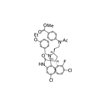 CCOc1cccc(CN2[C@@H](CCN(C(C)=O)c3ccc(C(=O)OC)cc3)C[C@H](c3cccc(Cl)c3F)[C@]23C(=O)Nc2cc(Cl)ccc23)c1